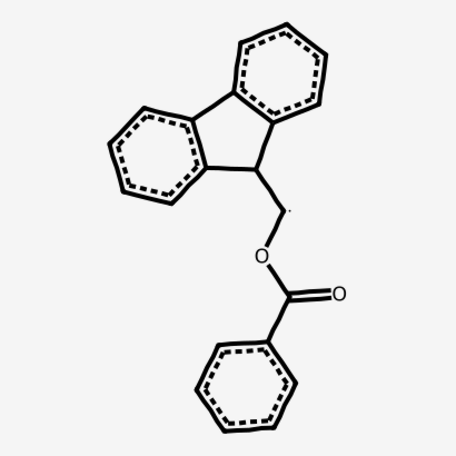 O=C(O[CH]C1c2ccccc2-c2ccccc21)c1ccccc1